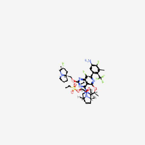 CC[C@@H](OS(=O)(=O)CC)C(=O)N1[C@@H]2CC[C@H]1[C@H]1[C@H](C)Oc3nc(-c4cc(N)c(F)c(C)c4C(F)(F)F)c(F)c4nc(OC[C@@]56CCCN5C[C@H](F)C6)nc(c34)N1C2